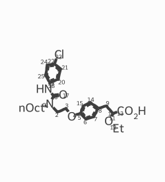 CCCCCCCCN(CCOc1ccc(CC(OCC)C(=O)O)cc1)C(=O)Nc1ccc(Cl)cc1